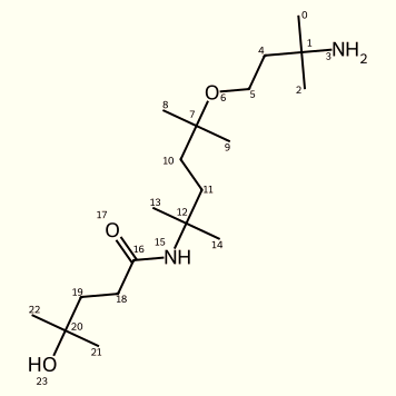 CC(C)(N)CCOC(C)(C)CCC(C)(C)NC(=O)CCC(C)(C)O